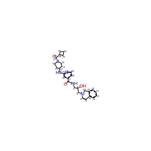 O=C(NCC(O)CN1CCc2ccccc2C1)c1ccnc(NC2CCN(C(=O)C3CCC3)CC2)c1